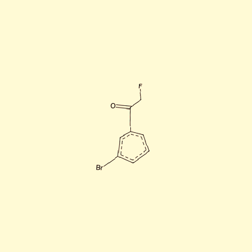 O=C(CF)c1cccc(Br)c1